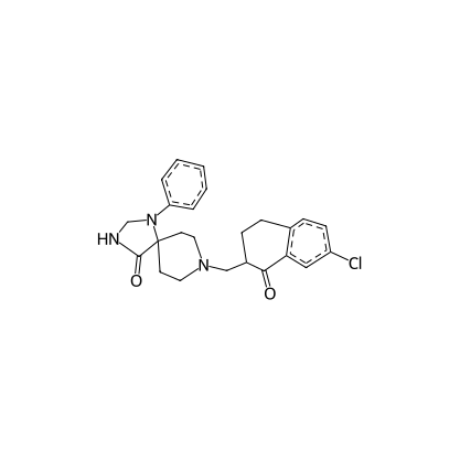 O=C1c2cc(Cl)ccc2CCC1CN1CCC2(CC1)C(=O)NCN2c1ccccc1